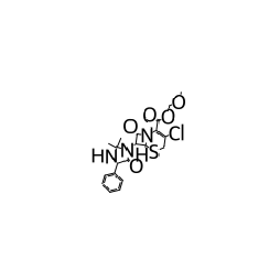 COCOC(=O)C1=C(Cl)CS[C@H]2[C@H](N3C(=O)C(c4ccccc4)NC3(C)C)C(=O)N12